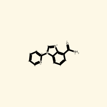 NC(=O)c1cccc2c1ncn2-c1ccccn1